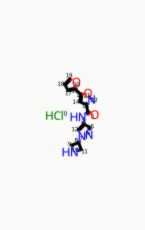 Cl.O=C(Nc1cnn(C2CNC2)c1)c1cc(-c2ccco2)on1